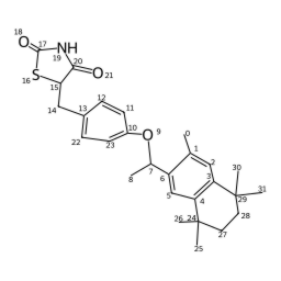 Cc1cc2c(cc1C(C)Oc1ccc(CC3SC(=O)NC3=O)cc1)C(C)(C)CCC2(C)C